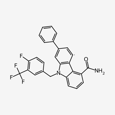 NC(=O)c1cccc2c1c1[c]cc(-c3ccccc3)cc1n2Cc1ccc(F)c(C(F)(F)F)c1